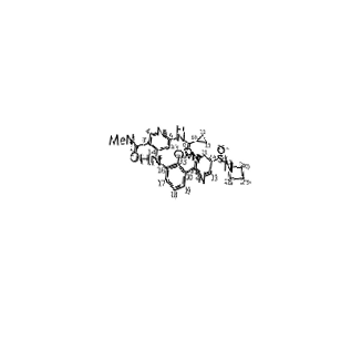 CNC(=O)c1cnc(NC(=O)C2CC2)cc1Nc1cccc(-c2ncc([S+]([O-])N3CCC3)cn2)c1OC